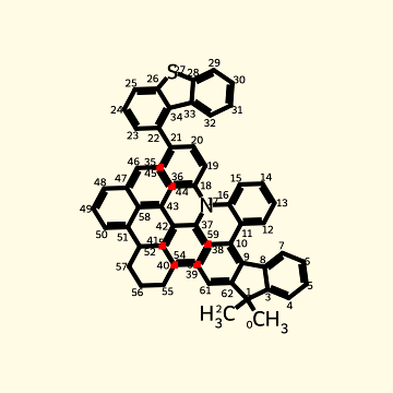 CC1(C)c2ccccc2-c2c(-c3ccccc3N(c3ccc(-c4cccc5sc6ccccc6c45)cc3)c3ccccc3-c3cccc4cccc(C5CCCCC5)c34)cccc21